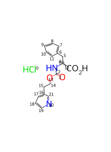 Cl.O=C(N[C@@H](Cc1ccccc1)C(=O)O)OCCc1cccnc1